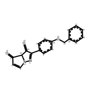 O=C1C=CN2N=C(c3ccc(OCc4ccccc4)cc3)C(=O)C12